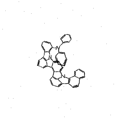 c1ccc(N(c2ccccc2)c2cccc3c4cccc5c6c7c8cccc9c%10ccc%11ccccc%11c%10n(c7ccc6n(c23)c45)c98)cc1